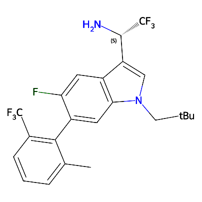 Cc1cccc(C(F)(F)F)c1-c1cc2c(cc1F)c([C@H](N)C(F)(F)F)cn2CC(C)(C)C